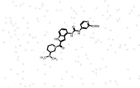 COc1cc(NC(=O)Nc2cccc3[nH]c(C(=O)N4CCCC(N(C)C)C4)cc23)ccn1